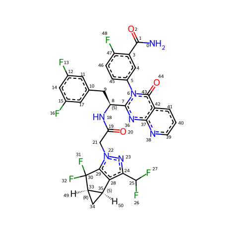 NC(=O)c1cc(-n2c([C@H](Cc3cc(F)cc(F)c3)NC(=O)Cn3nc(C(F)F)c4c3C(F)(F)[C@@H]3C[C@H]43)nc3ncccc3c2=O)ccc1F